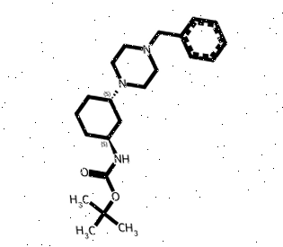 CC(C)(C)OC(=O)N[C@H]1CCC[C@H](N2CCN(Cc3ccccc3)CC2)C1